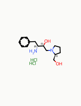 Cl.Cl.N[C@H](Cc1ccccc1)[C@@H](O)CN1CCC[C@H]1CO